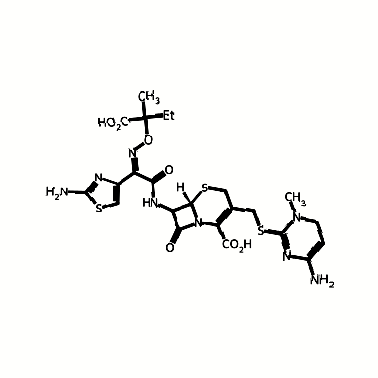 CCC(C)(O/N=C(\C(=O)NC1C(=O)N2C(C(=O)O)=C(CSC3=NC(N)=CCN3C)CS[C@@H]12)c1csc(N)n1)C(=O)O